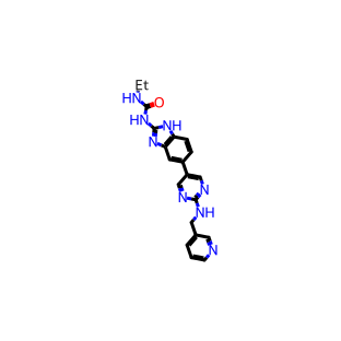 CCNC(=O)Nc1nc2cc(-c3cnc(NCc4cccnc4)nc3)ccc2[nH]1